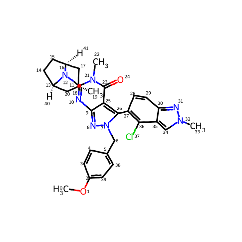 COc1ccc(Cn2nc3nc(N4[C@@H]5CC[C@H]4C[C@H](C)C5)n(C)c(=O)c3c2-c2ccc3nn(C)cc3c2Cl)cc1